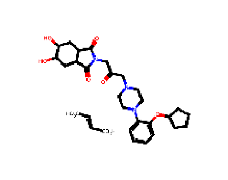 O=C(CN1CCN(c2ccccc2OC2CCCC2)CC1)CN1C(=O)C2CC(O)C(O)CC2C1=O.O=C(O)C=CC(=O)O